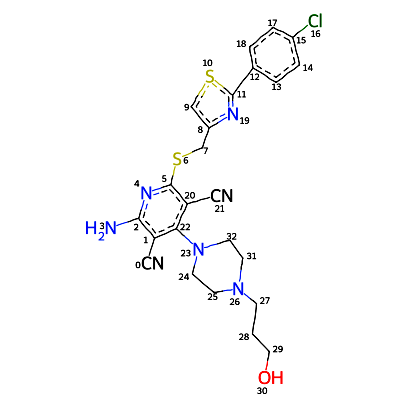 N#Cc1c(N)nc(SCc2csc(-c3ccc(Cl)cc3)n2)c(C#N)c1N1CCN(CCCO)CC1